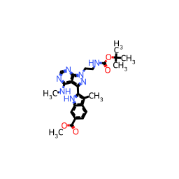 CNc1ncnc2c1c(-c1[nH]c3cc(C(=O)OC)ccc3c1C)nn2CCNC(=O)OC(C)(C)C